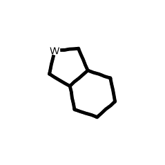 C1CCC2[CH2][W][CH2]C2C1